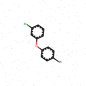 CC(C)c1ccc(Oc2cccc(Br)c2)cc1